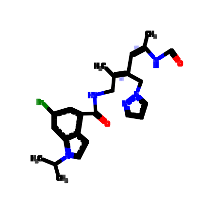 C/C(=C/C(Cn1cccn1)=C(\C)CNC(=O)c1cc(Br)cc2c1ccn2C(C)C)NC=O